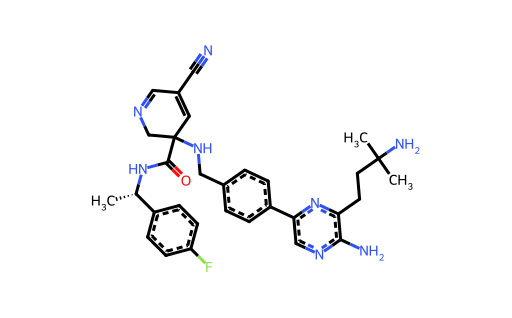 C[C@H](NC(=O)C1(NCc2ccc(-c3cnc(N)c(CCC(C)(C)N)n3)cc2)C=C(C#N)C=NC1)c1ccc(F)cc1